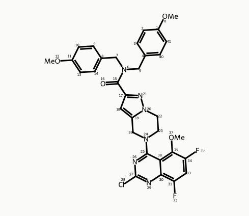 COc1ccc(CN(Cc2ccc(OC)cc2)C(=O)c2cc3n(n2)CCN(c2nc(Cl)nc4c(F)cc(F)c(OC)c24)C3)cc1